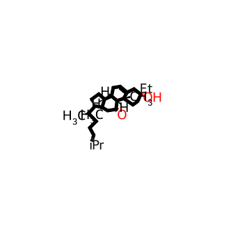 CC[C@]1(O)CC[C@@]2(C)C(=CC[C@H]3[C@@H]4CC[C@H]([C@H](C)CCCC(C)C)[C@@]4(C)CC(=O)[C@@H]32)C1